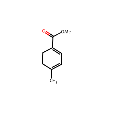 COC(=O)C1=CC=C(C)CC1